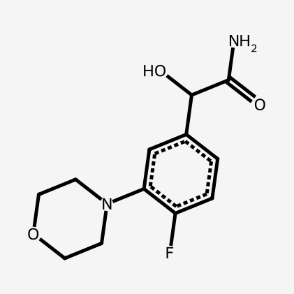 NC(=O)C(O)c1ccc(F)c(N2CCOCC2)c1